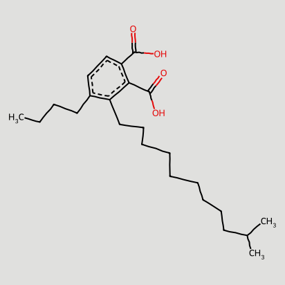 CCCCc1ccc(C(=O)O)c(C(=O)O)c1CCCCCCCCCC(C)C